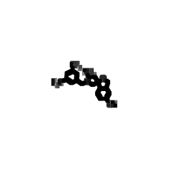 N#Cc1ccc2c(c1)COC2(CCN)COCc1cc(C(F)(F)F)cc(C(F)(F)F)c1